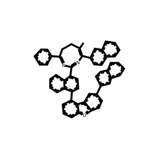 C/C1=C(c2ccc3ccccc3c2)/N=C(c2ccc(-c3cccc4oc5ccc(-c6ccc7ccccc7c6)cc5c34)c3ccccc23)\N=C(\c2ccccc2)CC1